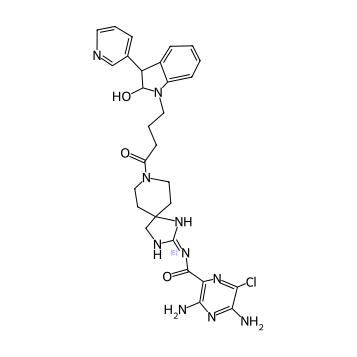 Nc1nc(N)c(C(=O)/N=C2\NCC3(CCN(C(=O)CCCN4c5ccccc5C(c5cccnc5)C4O)CC3)N2)nc1Cl